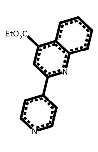 CCOC(=O)c1cc(-c2ccncc2)nc2ccccc12